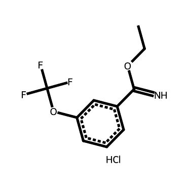 CCOC(=N)c1cccc(OC(F)(F)F)c1.Cl